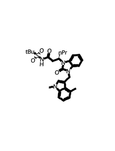 CCC[C@@H](CC(=O)NS(=O)(=O)C(C)(C)C)n1c(=O)n(Cc2cn(C)c3cccc(C)c23)c2ccccc21